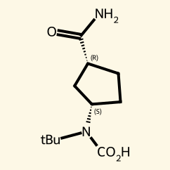 CC(C)(C)N(C(=O)O)[C@H]1CC[C@@H](C(N)=O)C1